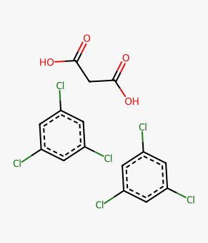 Clc1cc(Cl)cc(Cl)c1.Clc1cc(Cl)cc(Cl)c1.O=C(O)CC(=O)O